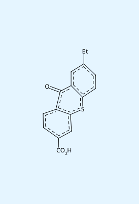 CCc1ccc2sc3cc(C(=O)O)ccc3c(=O)c2c1